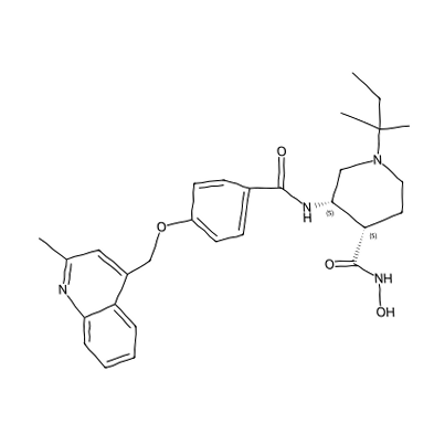 CCC(C)(C)N1CC[C@H](C(=O)NO)[C@H](NC(=O)c2ccc(OCc3cc(C)nc4ccccc34)cc2)C1